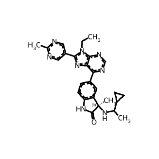 CCn1c(-c2cnc(C)nc2)nc2c(-c3ccc4c(c3)[C@@](C)(NC(C)C3CC3)C(=O)N4)ncnc21